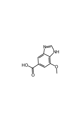 COc1cc(C(=O)O)cc2nc[nH]c12